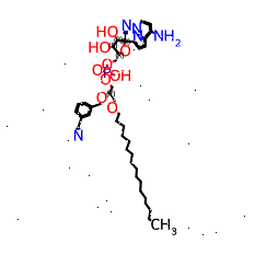 CCCCCCCCCCCCCCCCCOC[C@H](COP(=O)(O)OC[C@H]1O[C@@](C#N)(c2ccc3c(N)ccnn23)[C@H](O)[C@@H]1O)OCc1cccc(C#N)c1